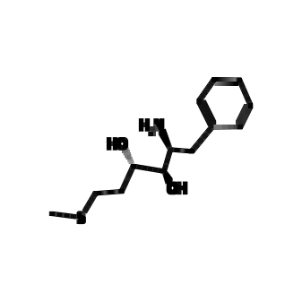 CSCC[C@H](O)[C@H](O)[C@@H](N)Cc1ccccc1